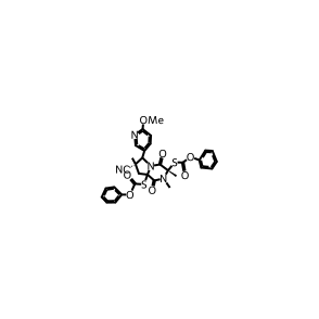 COc1ccc(C2N3C(=O)[C@](C)(SC(=O)Oc4ccccc4)N(C)C(=O)C3(SC(=O)Oc3ccccc3)C[C@]2(C)C#N)cn1